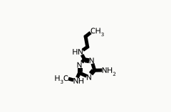 CCCNc1nc(N)nc(NC)n1